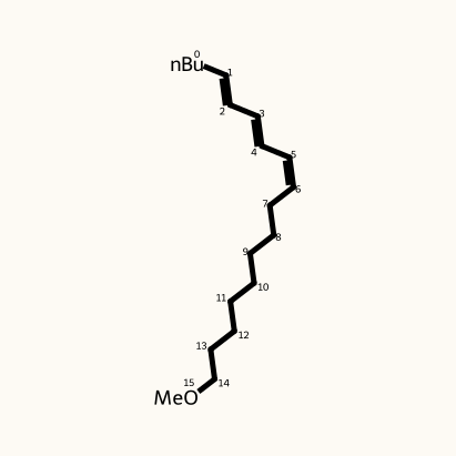 CCCC/C=C/C=C/C=C\CCCCCCCCOC